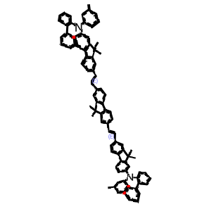 Cc1cccc(N(c2ccc3c(c2)C(C)(C)c2cc(/C=C/c4ccc5c(c4)C(C)(C)c4cc(/C=C/c6ccc7c(c6)C(C)(C)c6cc(N(c8cccc(C)c8)c8ccccc8-c8ccccc8)ccc6-7)ccc4-5)ccc2-3)c2ccccc2-c2ccccc2)c1